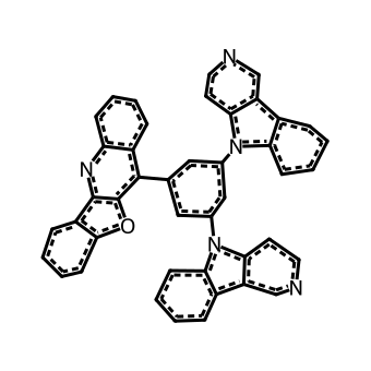 c1ccc2c(-c3cc(-n4c5ccccc5c5cnccc54)cc(-n4c5ccccc5c5cnccc54)c3)c3oc4ccccc4c3nc2c1